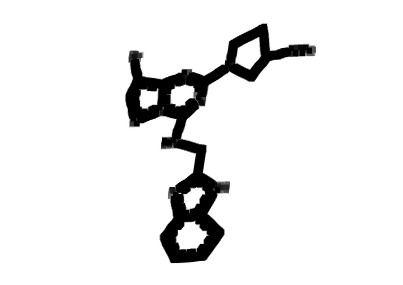 CNC1CCN(c2nc(NCc3nc4ccccc4[nH]3)n3ncc(Br)c3n2)C1